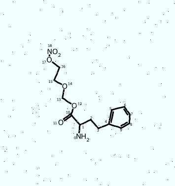 NC(CCc1ccccc1)C(=O)OCOCCO[N+](=O)[O-]